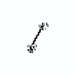 Cn1cnc2c1c(=O)n(CCCCCCCCCCCNC(=O)CN)c(=O)n2C